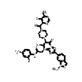 CCc1c(N2CCN(C(=O)c3ncnc(C)c3O)CC2)c(=O)n2nc(-c3ccc4cnn(C)c4c3)nc2n1CC(=O)Nc1ccc(C(F)(F)F)cc1Cl